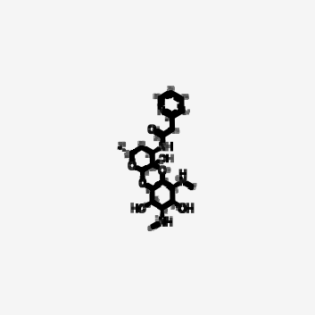 CN[C@@H]1[C@H](O)[C@H](NC)C2O[C@]3(O)C(OC2[C@@H]1O)O[C@H](C)C[C@H]3NC(=O)Cc1ccccn1